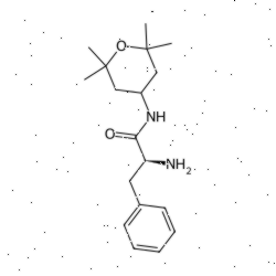 CC1(C)CC(NC(=O)[C@@H](N)Cc2ccccc2)CC(C)(C)O1